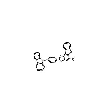 Clc1cc2sc(-c3ccc(-n4c5ccccc5c5ccccc54)cc3)nc2c2c1oc1ccccc12